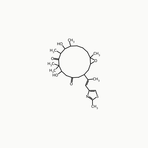 C/C(=C\c1csc(C)n1)C1CC(=O)CC(O)C(C)(C)C(=O)C(C)C(O)C(C)CCCC2(C)OC2C1